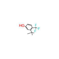 CC(C)(C)c1cc(O)ccc1C(F)(F)F